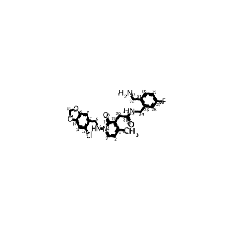 Cc1ccn(NCc2cc3c(cc2Cl)OCO3)c(=O)c1CC(=O)NCc1cc(F)ccc1CN